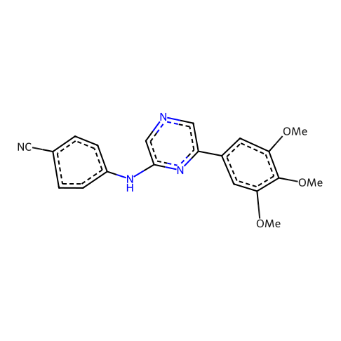 COc1cc(-c2cncc(Nc3ccc(C#N)cc3)n2)cc(OC)c1OC